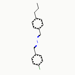 CCCc1ccc(C=NN=Cc2ccc(F)cc2)cc1